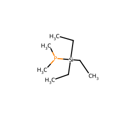 CC[Si](CC)(CC)P(C)C